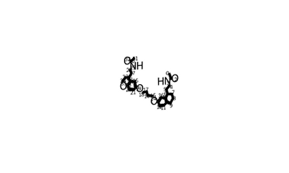 CC(=O)NCCC1CCCc2ccc(OCCCCOc3ccc4c(c3)C(CCNC(C)=O)CCO4)cc21